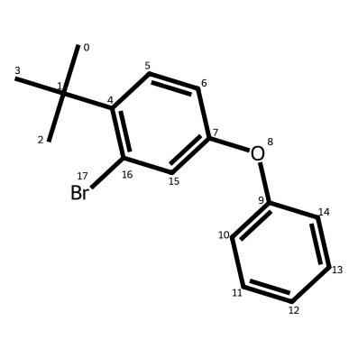 CC(C)(C)c1ccc(Oc2ccccc2)cc1Br